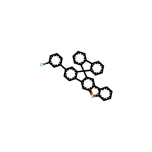 Clc1cccc(-c2ccc3c(c2)C2(c4ccccc4-c4ccccc42)c2cc4c(cc2-3)sc2ccccc24)c1